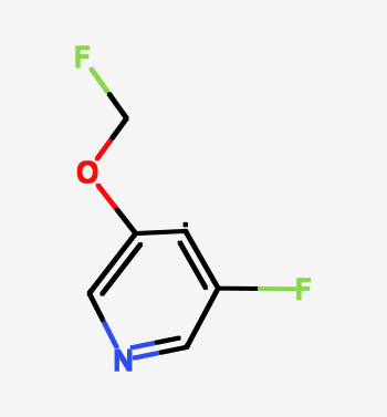 FCOc1[c]c(F)cnc1